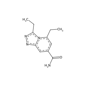 CCc1cc(C(N)=O)cc2nnc(CC)n12